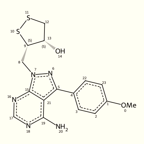 COc1ccc(-c2nn(C[C@@H]3SSC[C@@H]3O)c3ncnc(N)c23)cc1